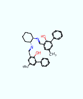 Cc1cc(/C=N/[C@@H]2CCCC[C@H]2/N=C/c2cc(C(C)(C)C)cc(-c3ccccc3)c2O)c(O)c(-c2ccccc2)c1